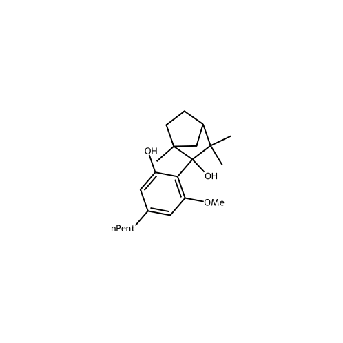 CCCCCc1cc(O)c(C2(O)C3(C)CCC(C3)C2(C)C)c(OC)c1